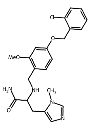 COc1cc(OCc2ccccc2Cl)ccc1CNC(Cc1cncn1C)C(N)=O